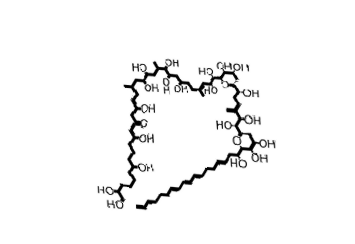 C=C/C=C/CC/C=C/C=C/C=C/CC/C=C/C[C@H](O)[C@@H]1O[C@@H]([C@H](O)[C@H](O)C(=C)CC[C@@H](O)[C@H]2C[C@@H](O)[C@@H](O)[C@H]([C@@H](O)[C@H](O)/C=C(\C)CCC(O)CC(O)C(O)C(C)CC(O)C(O)CC(C)CCC(O)CC(=O)CC(O)CCCC(O)CCCCC(O)CO)O2)C[C@@H](O)[C@H]1O